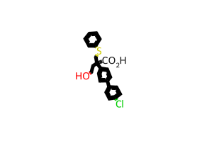 O=C(O)C(CCO)(CSc1ccccc1)c1ccc(-c2ccc(Cl)cc2)cc1